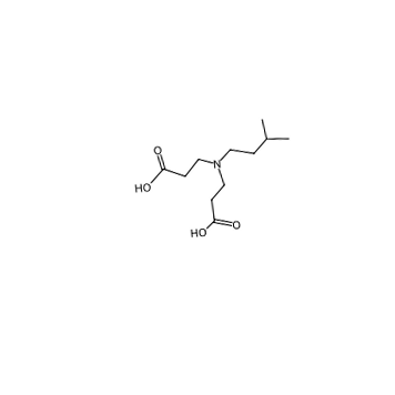 CC(C)CCN(CCC(=O)O)CCC(=O)O